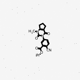 CC(C)OC(=O)c1cc(-n2c(=O)c3c(n(C)c2=O)CCC3)ccc1C#N